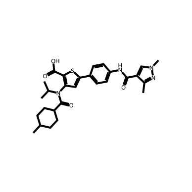 Cc1nn(C)cc1C(=O)Nc1ccc(-c2cc(N(C(=O)C3CCC(C)CC3)C(C)C)c(C(=O)O)s2)cc1